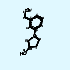 CC(C)(C)Cc1cccc(N2CCC(O)C2)c1